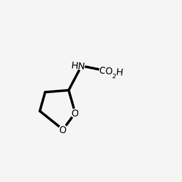 O=C(O)NC1CCOO1